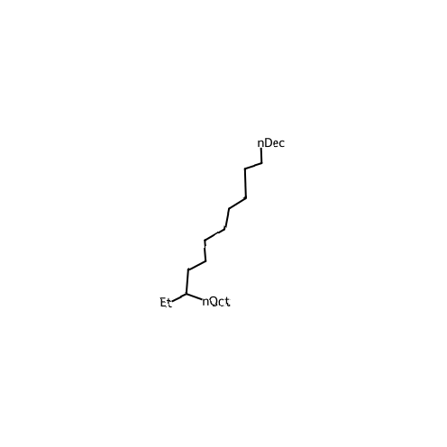 [CH2]CCCCCCCCCCCCCCCCCC(CC)CCCCCCC[CH2]